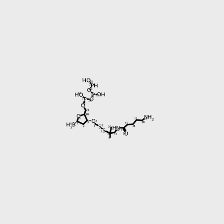 B[C@H]1C[C@@H](OCSSC(C)(C)CNC(=O)CCCCN)C(COP(O)OP(O)OPO)O1